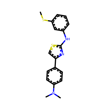 CSc1cccc(Nc2nc(-c3ccc(N(C)C)cc3)cs2)c1